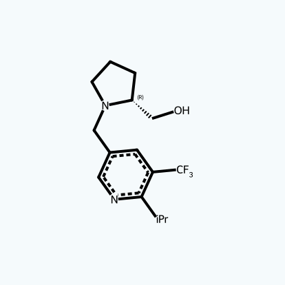 CC(C)c1ncc(CN2CCC[C@@H]2CO)cc1C(F)(F)F